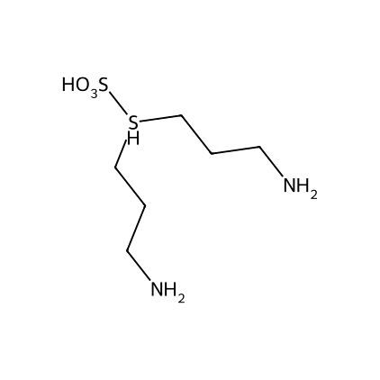 NCCC[SH](CCCN)S(=O)(=O)O